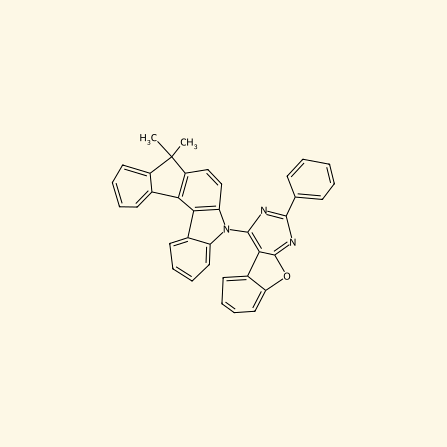 CC1(C)c2ccccc2-c2c1ccc1c2c2ccccc2n1-c1nc(-c2ccccc2)nc2oc3ccccc3c12